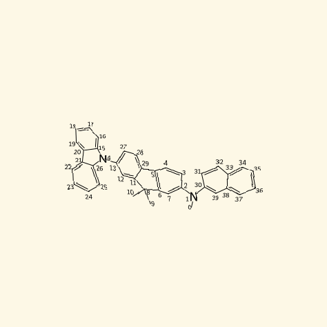 CN(c1ccc2c(c1)C(C)(C)c1cc(-n3c4ccccc4c4ccccc43)ccc1-2)c1ccc2ccccc2c1